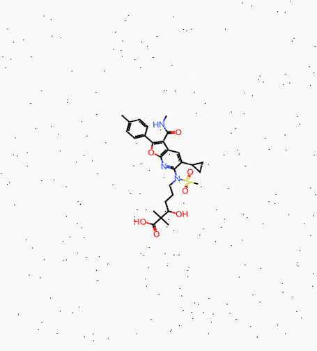 CNC(=O)c1c(-c2ccc(C)cc2)oc2nc(N(CCCC(O)C(C)(C)C(=O)O)S(C)(=O)=O)c(C3CC3)cc12